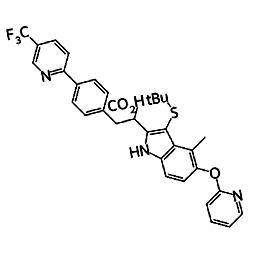 Cc1c(Oc2ccccn2)ccc2[nH]c(C(Cc3ccc(-c4ccc(C(F)(F)F)cn4)cc3)C(=O)O)c(SC(C)(C)C)c12